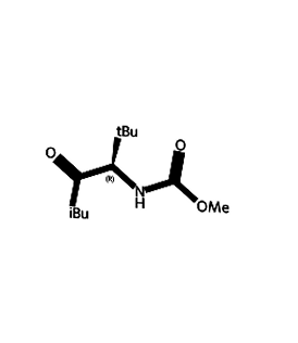 CCC(C)C(=O)[C@H](NC(=O)OC)C(C)(C)C